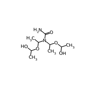 CC(O)OC(C)N(C(N)=O)C(C)OC(C)O